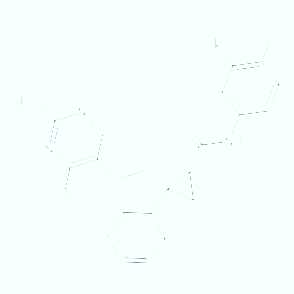 Cc1ncc(OC[C@@]2(C3C=CC=CC3)C[C@H]2C(=O)Nc2ccc(F)c(Cl)c2)c(C)n1